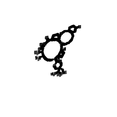 C[C@@H]1[C@@H](C)CCC[C@@H]([C@H]2OC[C@](CO)(N(C)C)CO2)[C@@H]2CC[C@H]2CN2CCCCc3cc(Cl)ccc3COc3ccc(cc32)C(=O)NS1(=O)=O